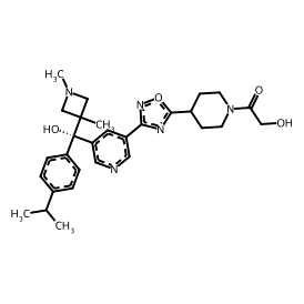 CC(C)c1ccc([C@](O)(c2cncc(-c3noc(C4CCN(C(=O)CO)CC4)n3)c2)C2(C)CN(C)C2)cc1